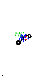 CNc1nc(-c2ccccc2)ncc1NC(=O)Cc1ccccc1.Cl